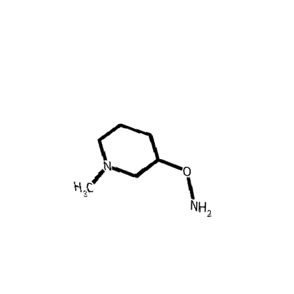 CN1CCCC(ON)C1